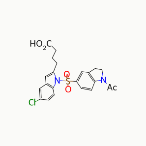 CC(=O)N1CCc2cc(S(=O)(=O)n3c(CCCC(=O)O)cc4cc(Cl)ccc43)ccc21